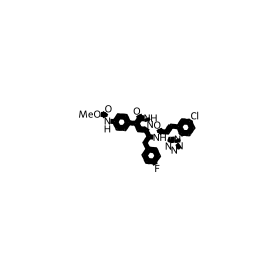 COC(=O)Nc1ccc(-c2cc(C(Cc3ccc(F)cc3)NC(=O)C=Cc3cc(Cl)ccc3-n3cnnn3)n[nH]c2=O)cc1